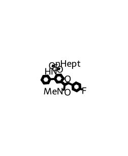 CCCCCCCS(=O)(=O)Nc1cc2oc(-c3ccc(F)cc3)c(C(=O)NC)c2cc1-c1ccccc1